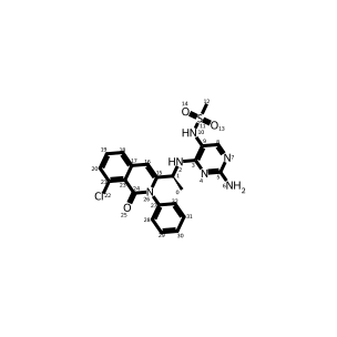 C[C@H](Nc1nc(N)ncc1NS(C)(=O)=O)c1cc2cccc(Cl)c2c(=O)n1-c1ccccc1